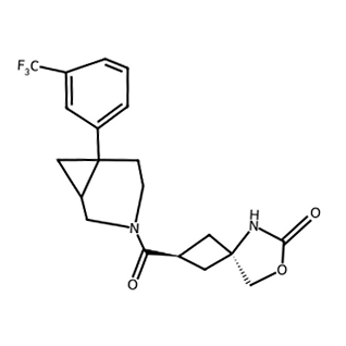 O=C1N[C@]2(CO1)C[C@H](C(=O)N1CCC3(c4cccc(C(F)(F)F)c4)CC3C1)C2